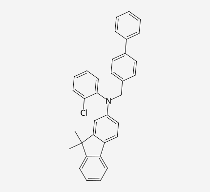 CC1(C)c2ccccc2-c2ccc(N(Cc3ccc(-c4ccccc4)cc3)c3ccccc3Cl)cc21